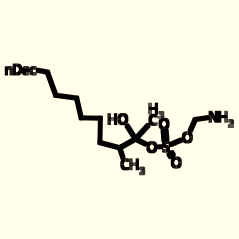 CCCCCCCCCCCCCCCCC(C)C(C)(O)OS(=O)(=O)OCN